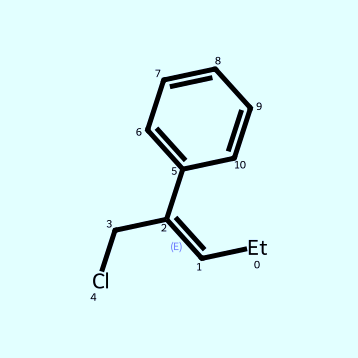 CC/C=C(/CCl)c1ccccc1